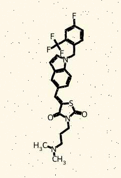 CN(C)CCCN1C(=O)S/C(=C\c2ccc3c(ccn3Cc3ccc(F)cc3C(F)(F)F)c2)C1=O